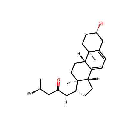 CC(C)[C@@H](C)CC(=O)[C@@H](C)[C@H]1CC[C@H]2C3=CC=C4C[C@@H](O)CC[C@]4(C)[C@H]3CC[C@]12C